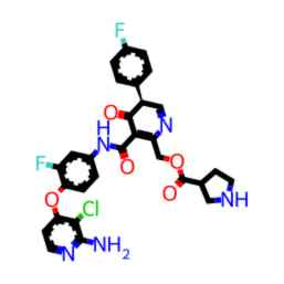 Nc1nccc(Oc2ccc(NC(=O)C3=C(COC(=O)C4CCNC4)N=C[C@H](c4ccc(F)cc4)C3=O)cc2F)c1Cl